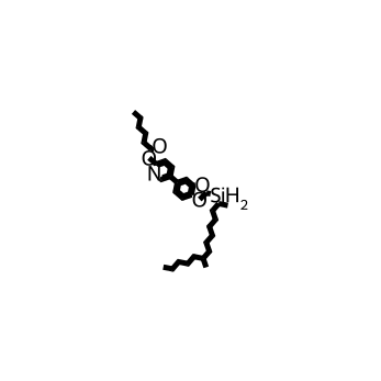 CCCCCC(=O)Oc1ccc(-c2ccc3c(c2)OC([SiH2]C(C)CCCCCCC(C)CCCCC)O3)cn1